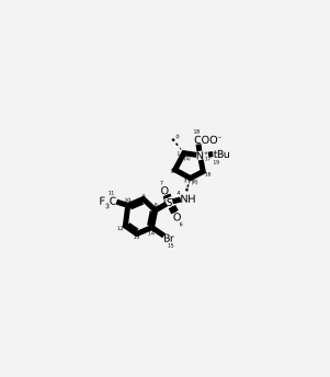 C[C@H]1C[C@@H](NS(=O)(=O)c2cc(C(F)(F)F)ccc2Br)C[N+]1(C(=O)[O-])C(C)(C)C